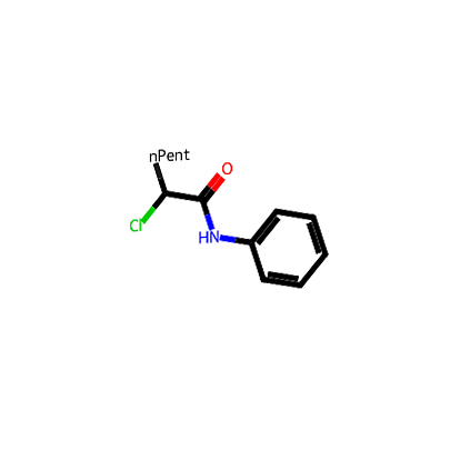 CCCCCC(Cl)C(=O)Nc1ccccc1